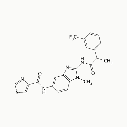 CC(C(=O)Nc1nc2cc(NC(=O)c3cscn3)ccc2n1C)c1cccc(C(F)(F)F)c1